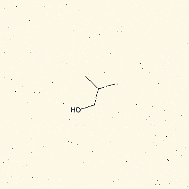 [CH2]C(C)CO